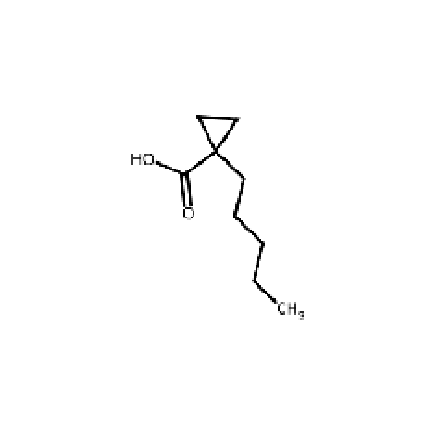 CCCCCC1(C(=O)O)CC1